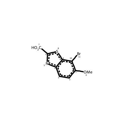 COc1ccc2nc(C(=O)O)sc2c1Br